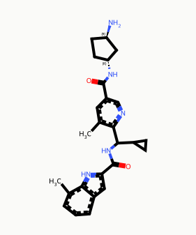 Cc1cc(C(=O)N[C@@H]2CC[C@@H](N)C2)cnc1C(NC(=O)c1cc2cccc(C)c2[nH]1)C1CC1